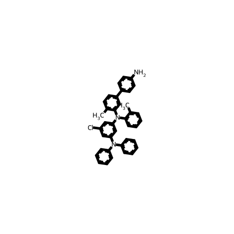 Cc1ccccc1N(c1cc(Cl)cc(N(c2ccccc2)c2ccccc2)c1)c1cc(-c2ccc(N)cc2)ccc1C